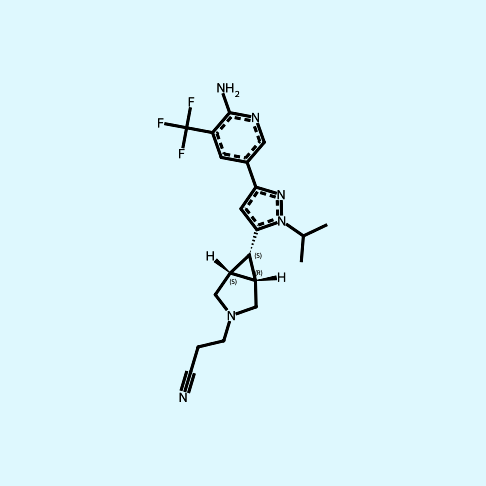 CC(C)n1nc(-c2cnc(N)c(C(F)(F)F)c2)cc1[C@@H]1[C@@H]2CN(CCC#N)C[C@@H]21